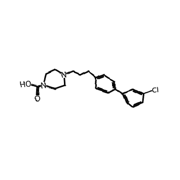 O=C(O)N1CCN(CCCc2ccc(-c3cccc(Cl)c3)cc2)CC1